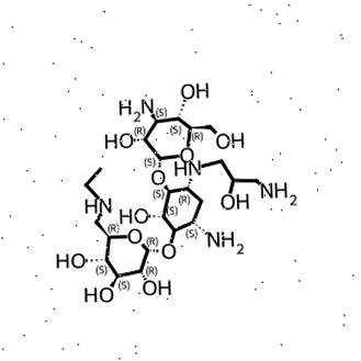 CCNC[C@H]1O[C@H](OC2[C@@H](N)C[C@@H](NCC(O)CN)[C@H](O[C@H]3O[C@H](CO)[C@@H](O)[C@H](N)[C@H]3O)[C@H]2O)[C@H](O)[C@@H](O)[C@@H]1O